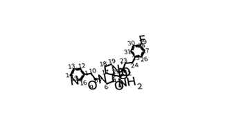 NC(=O)C12C(=O)CN(C(=O)Cc3cccnc3)C1CCN2C(=O)[CH]Cc1ccc(F)cc1